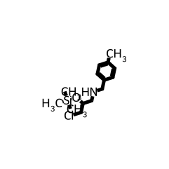 Cc1ccc(CNCC(CCl)O[Si](C)(C)C)cc1